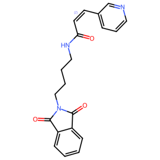 O=C(/C=C\c1cccnc1)NCCCCN1C(=O)c2ccccc2C1=O